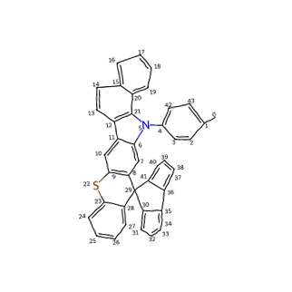 Cc1ccc(-n2c3cc4c(cc3c3ccc5ccccc5c32)Sc2ccccc2C42c3ccccc3-c3ccccc32)cc1